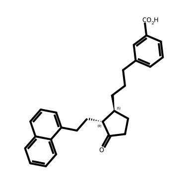 O=C(O)c1cccc(CCC[C@H]2CCC(=O)[C@@H]2CCc2cccc3ccccc23)c1